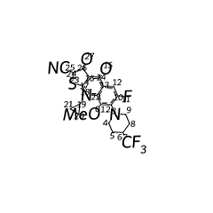 COc1c(N2CCC(C(F)(F)F)CC2)c(F)cc2c(=O)c3c(n(C4CC4)c12)SC(C#N)C3=O